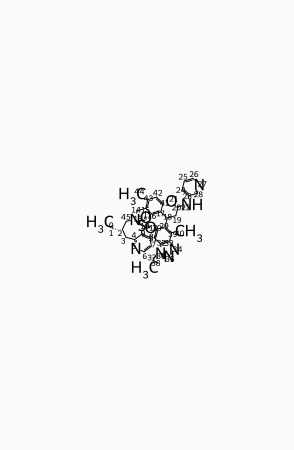 CC[C@H]1Cc2ncccc2S(=O)(=O)N(Cc2cc(C(CC(=O)Nc3cccnc3)c3ccc4c(nnn4CC)c3C)ccc2C)C1